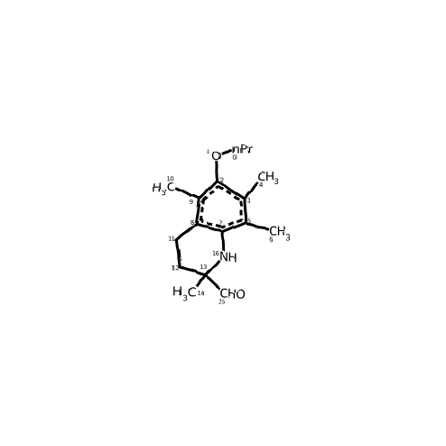 CCCOc1c(C)c(C)c2c(c1C)CCC(C)(C=O)N2